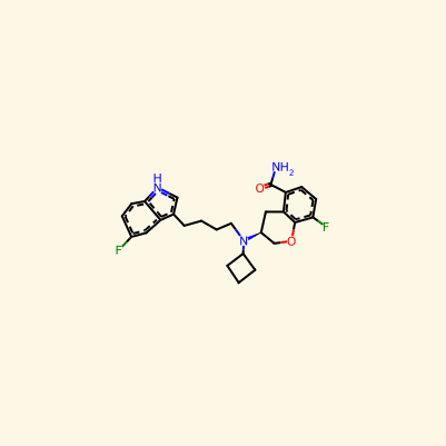 NC(=O)c1ccc(F)c2c1C[C@H](N(CCCCc1c[nH]c3ccc(F)cc13)C1CCC1)CO2